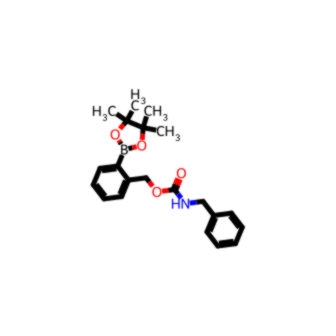 CC1(C)OB(c2ccccc2COC(=O)NCc2ccccc2)OC1(C)C